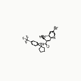 N#C/C(=C\c1ncc(Br)cc1Br)C(=O)NC1(c2ccc(C(F)(F)F)cc2)CCCC1